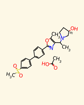 CC(=O)O.Cc1oc(-c2ccc(-c3ccc(S(C)(=O)=O)cc3)cc2)nc1C(C)N1CC[C@@H](O)C1